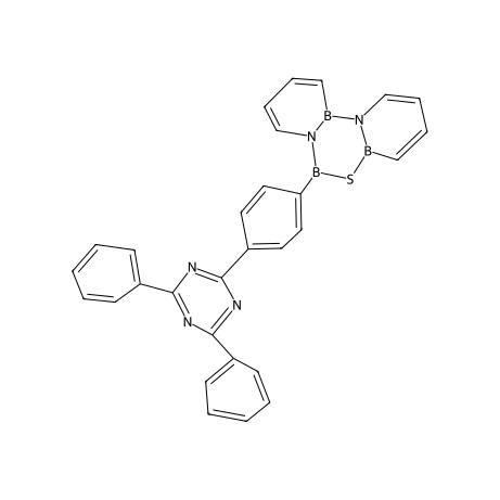 C1=CB2SB(c3ccc(-c4nc(-c5ccccc5)nc(-c5ccccc5)n4)cc3)N3C=CC=CB3N2C=C1